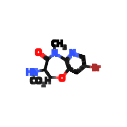 CN1C(=O)C(NC(=O)O)COc2cc(Br)cnc21